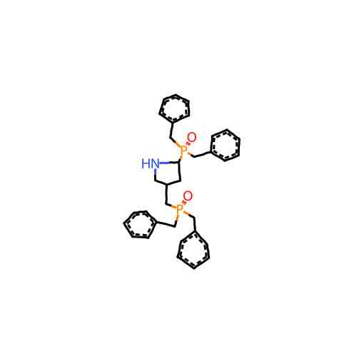 O=P(Cc1ccccc1)(Cc1ccccc1)CC1CNC(P(=O)(Cc2ccccc2)Cc2ccccc2)C1